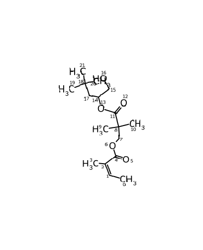 CC=C(C)C(=O)OCC(C)(C)C(=O)OC(CO)CC(C)(C)C